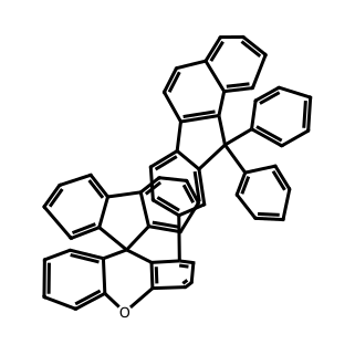 c1ccc(C2(c3ccccc3)c3cc(-c4cccc5c4C4(c6ccccc6O5)c5ccccc5-c5ccccc54)ccc3-c3ccc4ccccc4c32)cc1